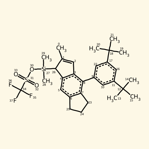 CC1=Cc2c(cc3c(c2-c2cc(C(C)(C)C)cc(C(C)(C)C)c2)CCC3)C1[Si](C)(C)OS(=O)(=O)C(F)(F)F